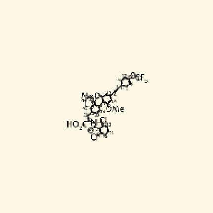 COc1cc(C#Cc2ccc(OC(F)(F)F)cc2)cc(OC)c1-c1ccc(CC(NC(=O)c2c(Cl)cccc2Cl)C(=O)O)c2c1OCCC2